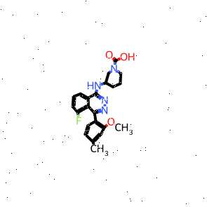 COc1cc(C)ccc1-c1nnc(NC2CCCN(C(=O)O)C2)c2cccc(F)c12